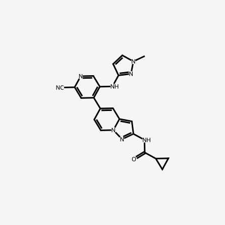 Cn1ccc(Nc2cnc(C#N)cc2-c2ccn3nc(NC(=O)C4CC4)cc3c2)n1